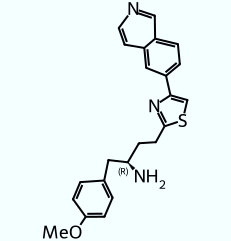 COc1ccc(C[C@H](N)CCc2nc(-c3ccc4cnccc4c3)cs2)cc1